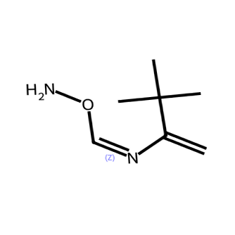 C=C(/N=C\ON)C(C)(C)C